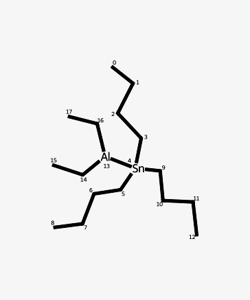 CCC[CH2][Sn]([CH2]CCC)([CH2]CCC)[Al]([CH2]C)[CH2]C